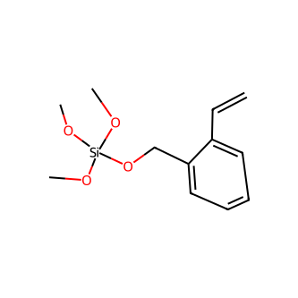 C=Cc1ccccc1CO[Si](OC)(OC)OC